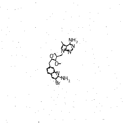 COC1C(Cn2cc(C)c3c(N)ncnc32)COC1Cc1ccc2cc(Br)c(N)nc2c1